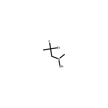 CCCN(C)CC(C)(F)CC